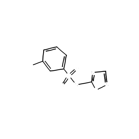 O=S(=O)(Nc1ncns1)c1cccc(F)c1